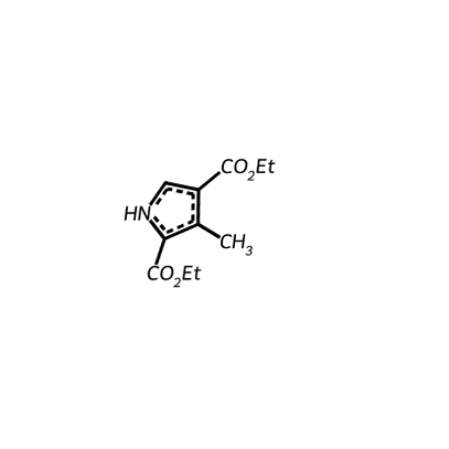 CCOC(=O)c1c[nH]c(C(=O)OCC)c1C